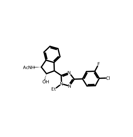 CCn1nc(-c2ccc(Cl)c(F)c2)nc1C1c2ccccc2[C@@H](NC(C)=O)[C@H]1O